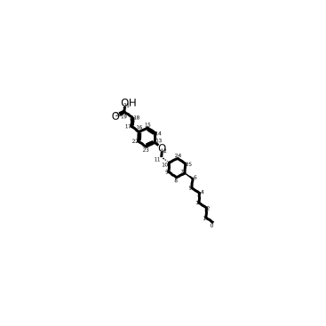 CCCCCCC[C@H]1CC[C@H](COc2ccc(C=CC(=O)O)cc2)CC1